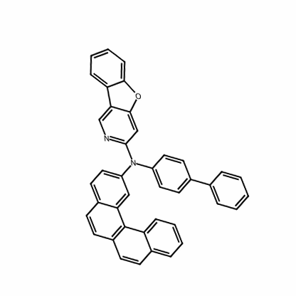 c1ccc(-c2ccc(N(c3ccc4ccc5ccc6ccccc6c5c4c3)c3cc4oc5ccccc5c4cn3)cc2)cc1